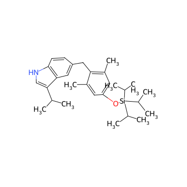 Cc1cc(O[Si](C(C)C)(C(C)C)C(C)C)cc(C)c1Cc1ccc2[nH]cc(C(C)C)c2c1